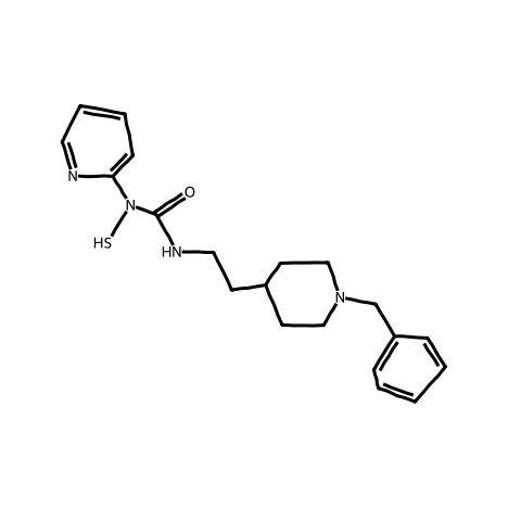 O=C(NCCC1CCN(Cc2ccccc2)CC1)N(S)c1ccccn1